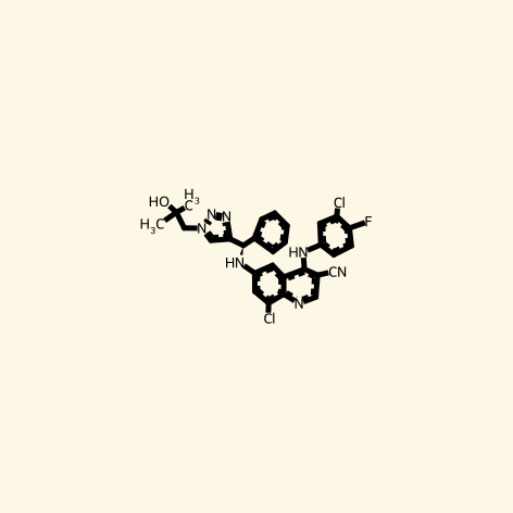 CC(C)(O)Cn1cc([C@@H](Nc2cc(Cl)c3ncc(C#N)c(Nc4ccc(F)c(Cl)c4)c3c2)c2ccccc2)nn1